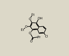 CCOc1c(OCC)c(OC(=O)C(C)C)c2cc(Cl)ccc2c1O